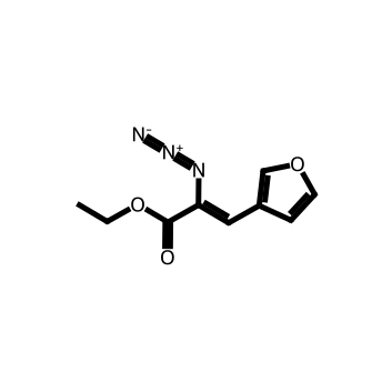 CCOC(=O)C(=Cc1ccoc1)N=[N+]=[N-]